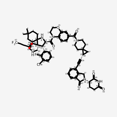 CC1(C)CCC2(CC1)N[C@@H](C(=O)N1CCOc3cc(C(=O)N4CCC5(CC4)C[C@@H]5C#Cc4cccc5c4CN([C@H]4CCC(=O)NC4=O)C5=O)ccc31)[C@H](c1cccc(Cl)c1F)[C@]21CNc2cc(C(F)(F)F)ncc21